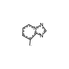 [CH2]c1cccn2ncnc12